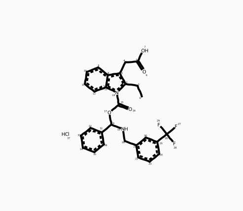 CCc1c(CC(=O)O)c2ccccc2n1C(=O)OC(NCc1cccc(C(F)(F)F)c1)c1ccccc1.Cl